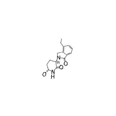 CCc1cccc2c1CN([C@@H]1CCC(=O)NC1=O)C2=O